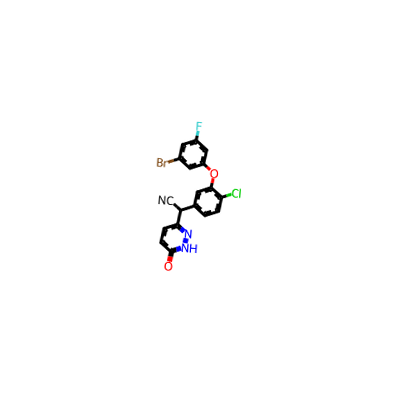 N#CC(c1ccc(Cl)c(Oc2cc(F)cc(Br)c2)c1)c1ccc(=O)[nH]n1